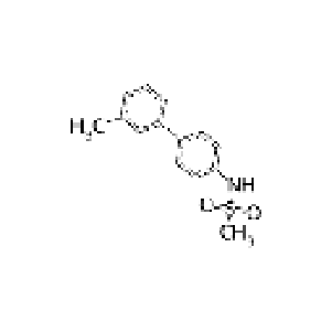 Cc1cccc(-c2ccc(NS(C)(=O)=O)cc2)c1